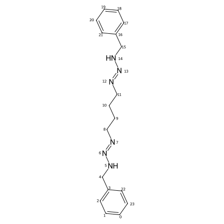 c1ccc(CNN=NCCCCN=NNCc2ccccc2)cc1